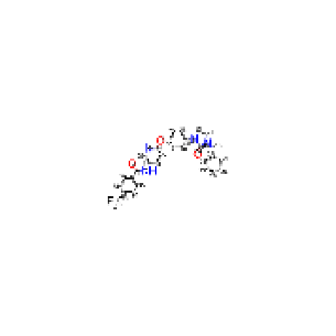 O=C(Nc1ccc(Oc2ccc(N3CCN(Cc4ccccc4)C3=O)cc2)nc1)c1ccc(C(F)(F)F)cc1